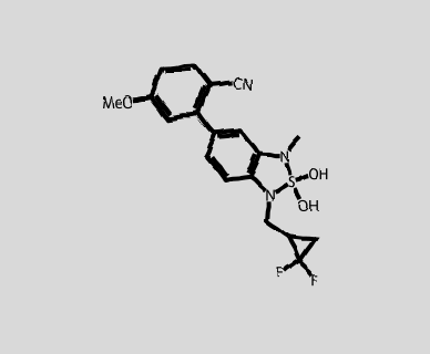 COc1ccc(C#N)c(-c2ccc3c(c2)N(C)S(O)(O)N3CC2CC2(F)F)c1